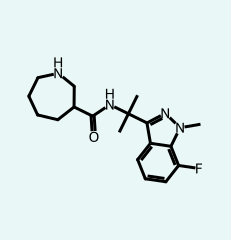 Cn1nc(C(C)(C)NC(=O)C2CCCCNC2)c2cccc(F)c21